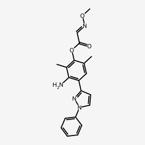 CON=CC(=O)Oc1c(C)cc(-c2ccn(-c3ccccc3)n2)c(N)c1C